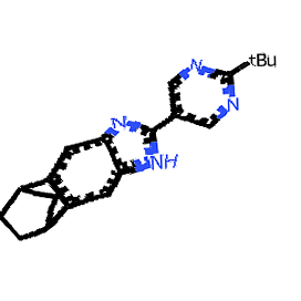 CC(C)(C)c1ncc(-c2nc3cc4c(cc3[nH]2)C2CCC4C2)cn1